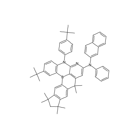 CC(C)(C)c1ccc(N2c3ccc(C(C)(C)C)cc3B3c4cc5c(cc4C(C)(C)c4cc(N(c6ccccc6)c6ccc7ccccc7c6)nc2c43)C(C)(C)CC5(C)C)cc1